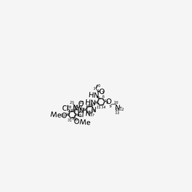 C=CC(=O)Nc1cc(OCCN(C)C)ccc1Nc1cc(NC(=O)N(C)c2c(Cl)c(OC)cc(OC)c2Cl)ncn1